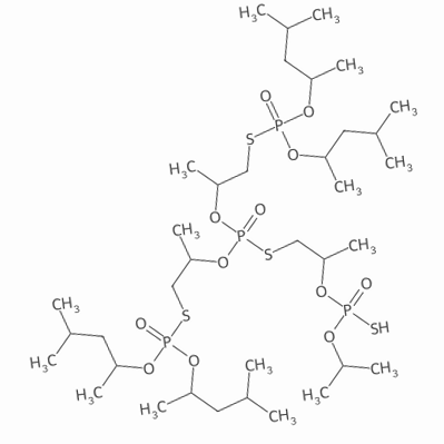 CC(C)CC(C)OP(=O)(OC(C)CC(C)C)SCC(C)OP(=O)(OC(C)CSP(=O)(OC(C)CC(C)C)OC(C)CC(C)C)SCC(C)OP(=O)(S)OC(C)C